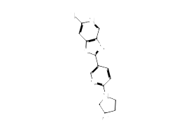 F[C@@H]1CCN(c2ccc(-c3nc4cnc(Cl)cc4s3)cn2)C1